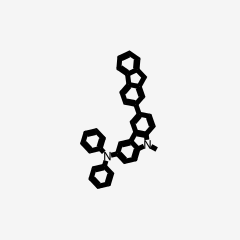 Cn1c2ccc(-c3ccc4c(c3)Cc3ccccc3-4)cc2c2cc(N(c3ccccc3)c3ccccc3)ccc21